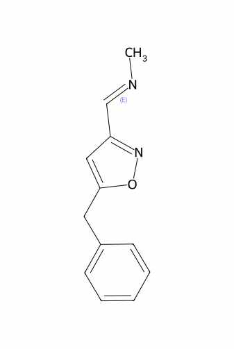 C/N=C/c1cc(Cc2ccccc2)on1